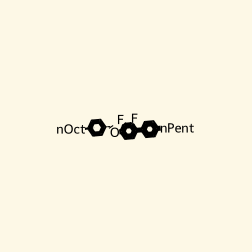 CCCCCCCC[C@H]1CC[C@H](COc2ccc(-c3ccc(CCCCC)cc3)c(F)c2F)CC1